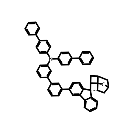 c1ccc(-c2ccc(N(c3ccc(-c4ccccc4)cc3)c3cccc(-c4cccc(-c5ccc6c(c5)-c5ccccc5[C@@]65C6CC7CC8CC5C86C7)c4)c3)cc2)cc1